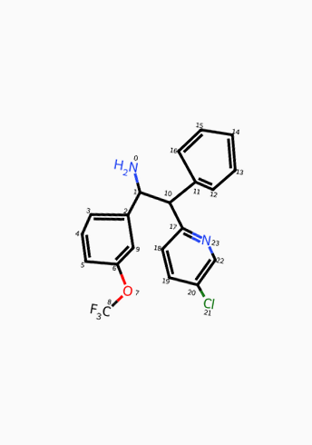 NC(c1cccc(OC(F)(F)F)c1)C(c1ccccc1)c1ccc(Cl)cn1